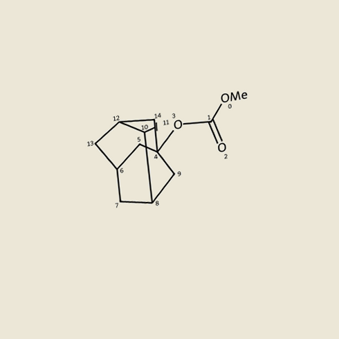 COC(=O)OC12CC3CC(C1)C(I)C(C3)C2